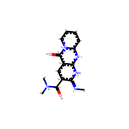 CN=c1[nH]c2nc3ccccn3c(=O)c2cc1C(=O)N(C)C